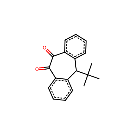 CC(C)(C)C1c2ccccc2C(=O)C(=O)c2ccccc21